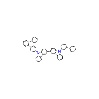 C1=CC2c3ccccc3-c3cc(-n4c5ccccc5c5cc(-c6ccc7c(c6)c6ccccc6n7C6C=C(C7=CCCC=C7)C=CC6)ccc54)ccc3C2C=C1